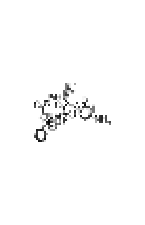 CC(C)OC(=O)[C@H](C)NP(=O)(OC[C@@]1(F)O[C@@](C)(n2ccc(N)nc2=O)[C@](C)(N=[N+]=[N-])[C@@H]1O)Oc1ccccc1